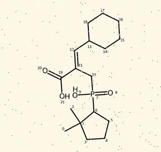 CC1(C)CCCC1P(=O)(O)C/C(=C\C1CCCCC1)C(=O)O